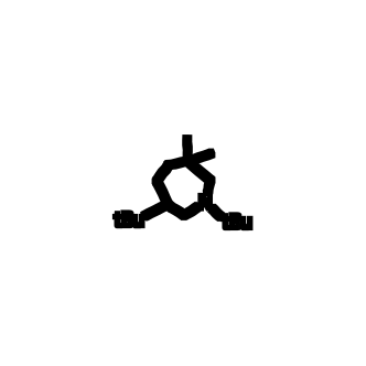 CC1(C)CCC(C(C)(C)C)CN(C(C)(C)C)C1